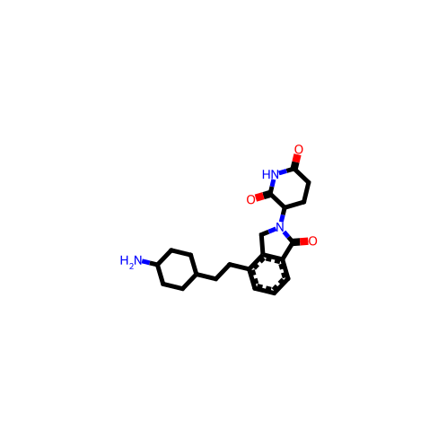 NC1CCC(CCc2cccc3c2CN(C2CCC(=O)NC2=O)C3=O)CC1